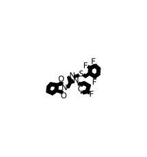 O=C1c2ccccc2C(=O)N1Cc1cnc(SCc2c(F)ccc(F)c2F)n1-c1ccc(F)cc1